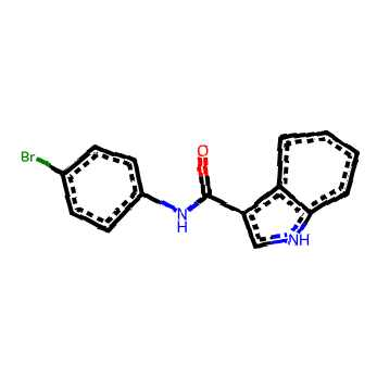 O=C(Nc1ccc(Br)cc1)c1c[nH]c2ccccc12